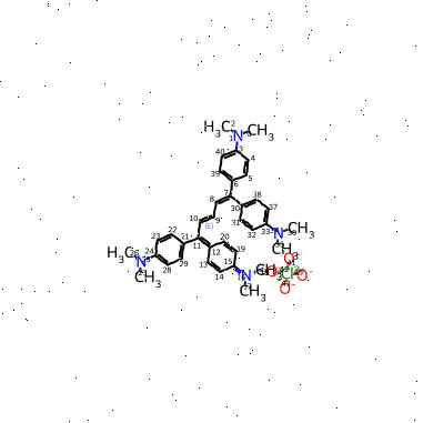 CN(C)c1ccc(C(=C/C=C/C(=C2C=CC(=[N+](C)C)C=C2)c2ccc(N(C)C)cc2)c2ccc(N(C)C)cc2)cc1.[O-][Cl+3]([O-])([O-])[O-]